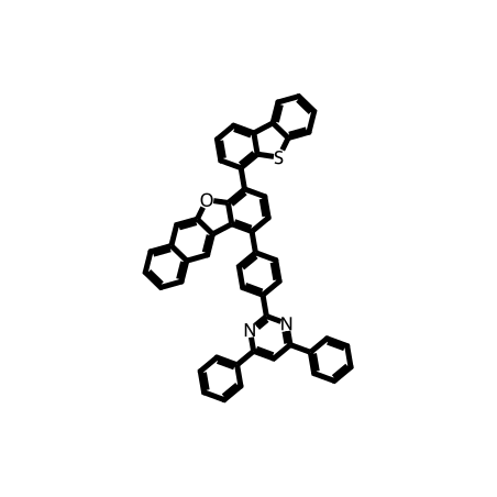 c1ccc(-c2cc(-c3ccccc3)nc(-c3ccc(-c4ccc(-c5cccc6c5sc5ccccc56)c5oc6cc7ccccc7cc6c45)cc3)n2)cc1